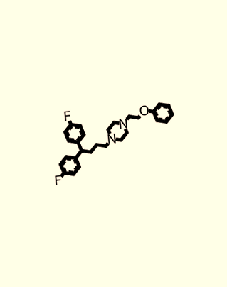 Fc1ccc(C(CCCN2CCN(CCOc3ccccc3)CC2)c2ccc(F)cc2)cc1